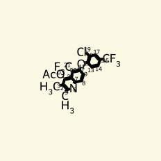 CC(=O)Oc1c(C)c(C)nc2ccc(Oc3ccc(C(F)(F)F)cc3Cl)c(C(F)(F)F)c12